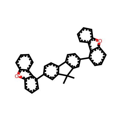 CC1(C)c2cc(-c3cccc4oc5ccccc5c34)ccc2-c2ccc(-c3cccc4oc5ccccc5c34)cc21